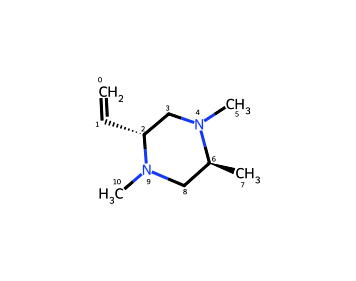 C=C[C@@H]1CN(C)[C@@H](C)CN1C